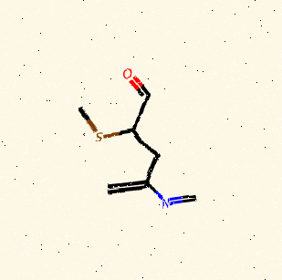 C=NC(=C)CC(C=O)SC